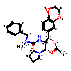 CC(=O)O[C@H](c1ccc2c(c1)OCCO2)[C@@H](CN1CCCC1)NC(=O)N(C)Cc1ccccc1